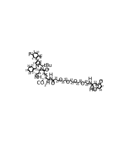 CC(C)(C)[C@H](c1cc(-c2cc(F)ccc2F)cn1Cc1ccccc1)N(CCCN)C(=O)CSC[C@H](NC(=O)CCOCCOCCOCCOCCNC(=O)CN1C(=O)C=CC1O)C(=O)O